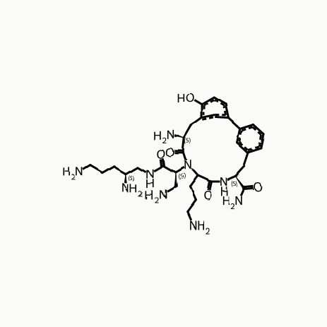 NCCCC1C(=O)N[C@H](C(N)=O)Cc2cccc(c2)-c2ccc(O)c(c2)C[C@H](N)C(=O)N1[C@@H](CN)C(=O)NC[C@@H](N)CCCN